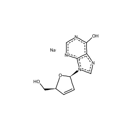 OC[C@@H]1C=C[C@H](n2cnc3c(O)ncnc32)O1.[Na]